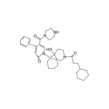 O=C(CCC1CCCCC1)N1CCC(O)(Cn2cc(C(=O)N3CCNCC3)c(-c3ccccc3)cc2=O)C2(CCCCC2)C1